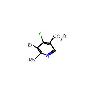 CCOC(=O)c1cnc(C(C)(C)C)c(CC)c1Cl